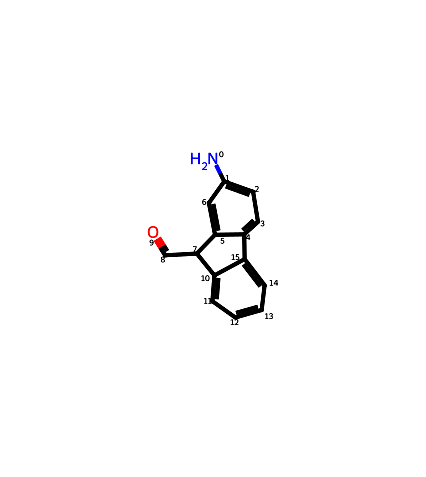 Nc1ccc2c(c1)C(C=O)c1ccccc1-2